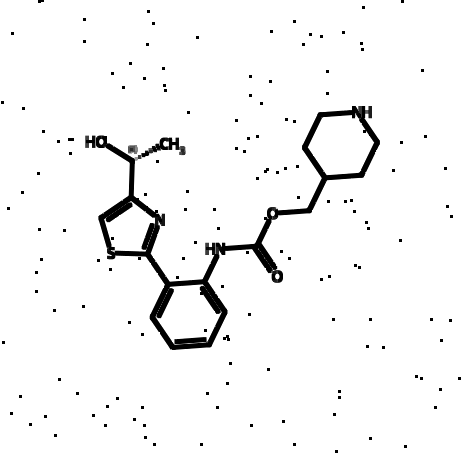 C[C@@H](O)c1csc(-c2ccccc2NC(=O)OCC2CCNCC2)n1